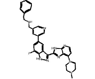 CN1CCN(c2ccnc3[nH]c(-c4n[nH]c5c(F)cc(-c6cncc(CNCc7ccccc7)c6)cc45)nc23)CC1